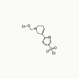 CCOCN1CCC=C(c2ccc(S(=O)(=O)CC)cn2)C1